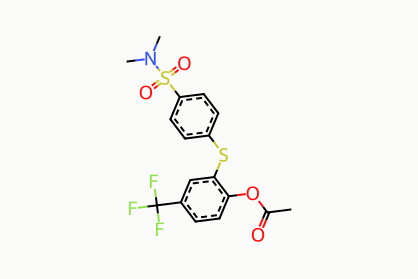 CC(=O)Oc1ccc(C(F)(F)F)cc1Sc1ccc(S(=O)(=O)N(C)C)cc1